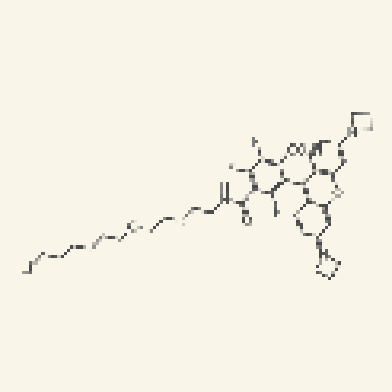 O=C(NCCOCCOCCCCCCCl)c1c(F)c(F)c(C(=O)O)c(-c2c3ccc(=[N+]4CCC4)cc-3oc3cc(N4CCC4)ccc23)c1F